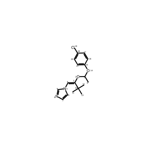 CC(O/C(=C/n1ccnc1)C(C)(C)C)Oc1ccc(Cl)cc1